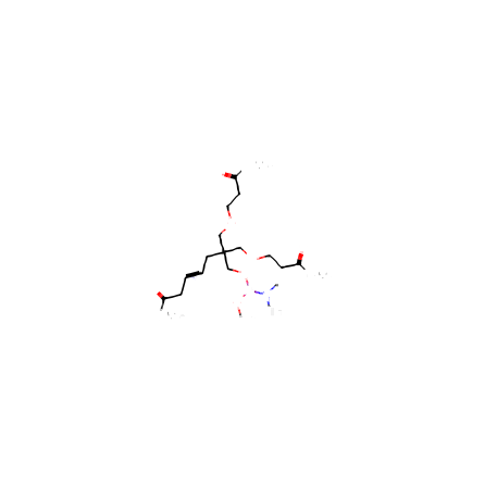 CCCOP(OCC(C/C=C/CC(=O)OC)(COCCC(=O)OC)COCCC(=O)OC)N(C(C)C)C(C)C